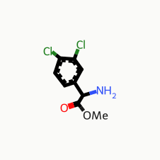 COC(=O)C(N)c1ccc(Cl)c(Cl)c1